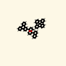 c1ccc(-c2c(N(c3ccc(-c4ccc5c6ccccc6c6ccccc6c5c4)cc3)c3ccc4c(c3)-c3ccccc3C43c4ccccc4-c4ccccc43)ccc3ccccc23)cc1